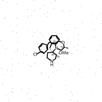 CO[C@@H]1CNCC[C@@]1(Cc1ccccc1)N1C[C@H](C)OC[C@@H]1Cc1ccc(Cl)cc1